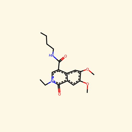 CCCCNC(=O)c1cn(CC)c(=O)c2cc(OC)c(OC)cc12